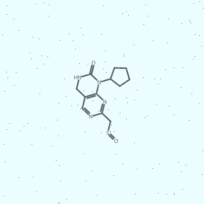 O=[S+]Cc1ncc2c(n1)N(C1CCCC1)C(=O)NC2